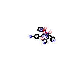 CCOC(=O)N1C2CCC1CC(CN1C(=O)C(Cc3ccncc3)(Cc3ccncc3)NC1=CC(=O)c1ccc(C#N)cc1)C2